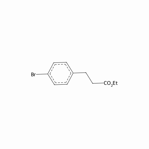 CCOC(=O)CCc1ccc(Br)cc1